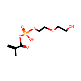 C=C(C)C(=O)OP(=O)(O)OCCOCCO